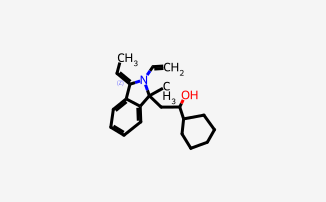 C=CN1/C(=C\C)c2ccccc2C1(C)CC(O)C1CCCCC1